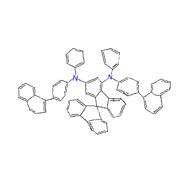 c1ccc(N(c2ccc(-c3cccc4ccccc34)cc2)c2cc(N(c3ccccc3)c3ccc(-c4cccc5ccccc45)cc3)c3c(c2)C2(c4ccccc4-c4ccccc42)c2ccccc2-3)cc1